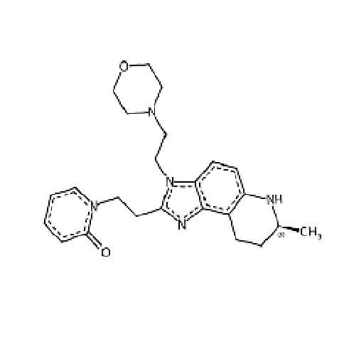 C[C@H]1CCc2c(ccc3c2nc(CCn2ccccc2=O)n3CCN2CCOCC2)N1